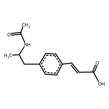 CC(=O)NC(C)Cc1ccc(C=CC(=O)O)cc1